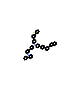 c1cc(-c2ccc(-c3ccc(N(c4ccc(-c5cccc(-n6c7ccccc7c7ccccc76)c5)cc4)c4ccc(-c5ccc6sc7ccccc7c6c5)cc4)cc3)cc2)cc(-c2ccc3ccccc3c2)c1